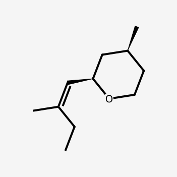 CC/C(C)=C\[C@H]1C[C@@H](C)CCO1